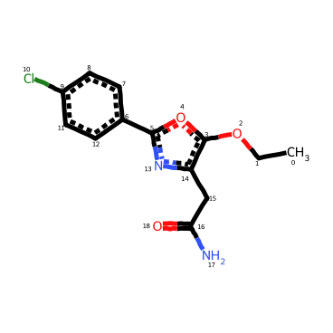 CCOc1oc(-c2ccc(Cl)cc2)nc1CC(N)=O